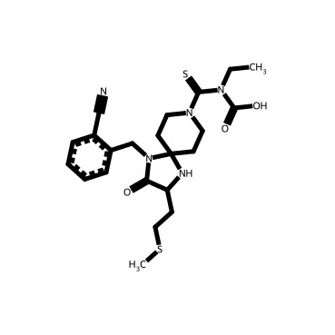 CCN(C(=O)O)C(=S)N1CCC2(CC1)NC(CCSC)C(=O)N2Cc1ccccc1C#N